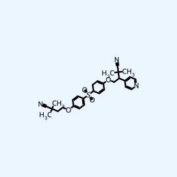 CC(C)(C#N)CCOc1ccc(S(=O)(=O)C2C=CC(OCC(c3ccncc3)C(C)(C)C#N)=CC2)cc1